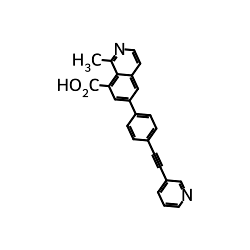 Cc1nccc2cc(-c3ccc(C#Cc4cccnc4)cc3)cc(C(=O)O)c12